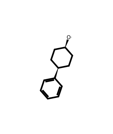 [O][C@H]1CC[C@@H](c2ccccc2)CC1